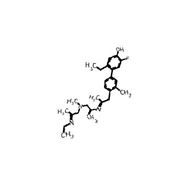 C=C(CN(C)C/C(C)=N/CC)/N=C(\C)Cc1ccc(-c2cc(F)c(O)cc2CC)cc1C